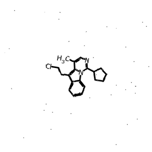 Cc1cnc(C2CCCC2)n2c1c(CCCl)c1ccccc12